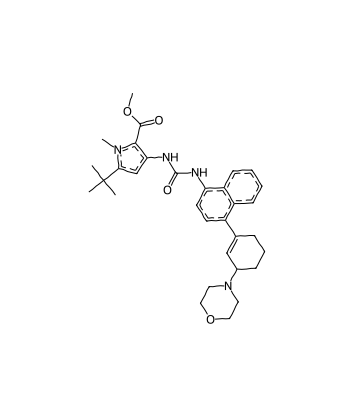 COC(=O)c1c(NC(=O)Nc2ccc(C3=CC(N4CCOCC4)CCC3)c3ccccc23)cc(C(C)(C)C)n1C